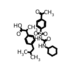 CC(=O)c1ccc(S(=O)(=O)NC(=O)NC2CCCCC2)cc1.CC(C)Cc1ccc(C(C)C(=O)O)cc1